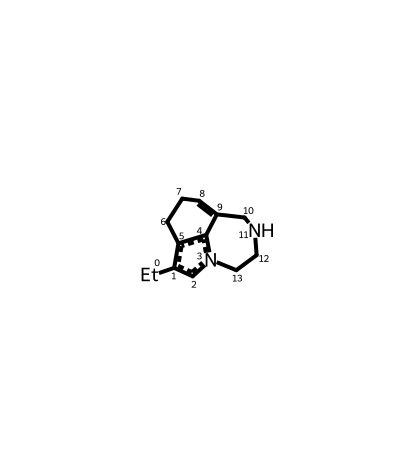 CCc1cn2c3c1CCC=C3CNCC2